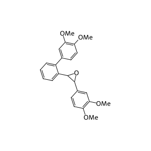 COc1ccc(-c2ccccc2C2OC2c2ccc(OC)c(OC)c2)cc1OC